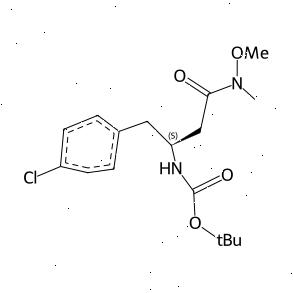 CON(C)C(=O)C[C@H](Cc1ccc(Cl)cc1)NC(=O)OC(C)(C)C